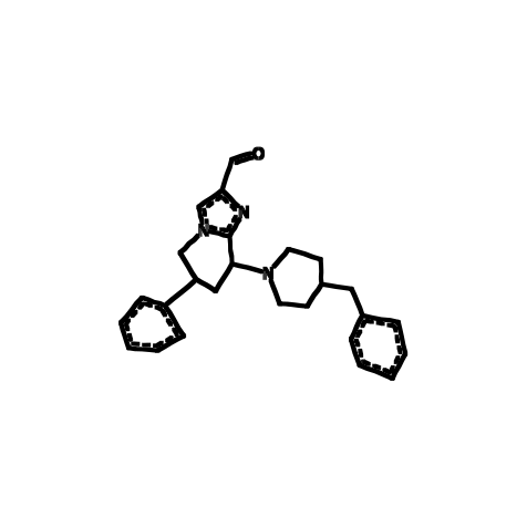 O=Cc1cn2c(n1)C(N1CCC(Cc3ccccc3)CC1)CC(c1ccccc1)C2